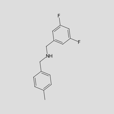 Cc1ccc(CNCc2cc(F)cc(F)c2)cc1